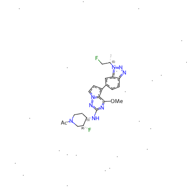 COc1nc(N[C@H]2CCN(C(C)=O)C[C@H]2F)nn2ccc(-c3ccc4nnn([C@@H](C)CF)c4c3)c12